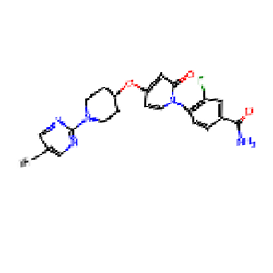 CCCc1cnc(N2CCC(Oc3ccn(-c4ccc(C(N)=O)cc4F)c(=O)c3)CC2)nc1